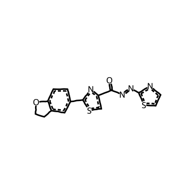 O=C(N=Nc1nccs1)c1csc(-c2ccc3c(c2)CCO3)n1